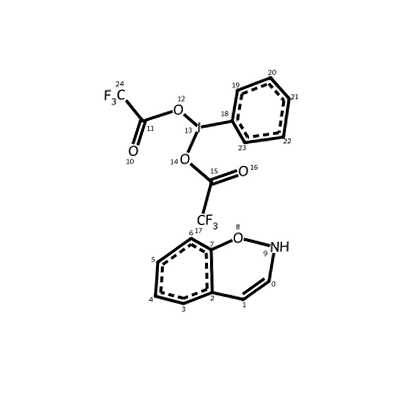 C1=Cc2ccccc2ON1.O=C(OI(OC(=O)C(F)(F)F)c1ccccc1)C(F)(F)F